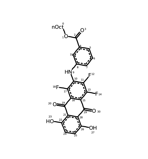 CCCCCCCCOC(=O)c1cccc(Nc2c(F)c(F)c3c(c2F)C(=O)c2c(O)ccc(O)c2C3=O)c1